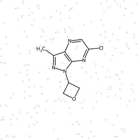 Cc1nn(C2COC2)c2nc(Cl)cnc12